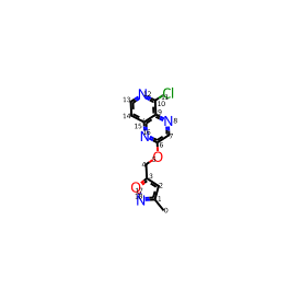 Cc1cc(COc2cnc3c(Cl)nccc3n2)on1